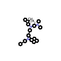 CC1(C)c2ccccc2-c2ccc(N(c3ccc(-c4ccc5c(c4)c4c6ccc7cccc8ccc(cc4n5-c4ccc(-c5ccccc5)cc4)c6c87)cc3)c3ccc(N(c4ccccc4)c4ccccc4)cc3)cc21